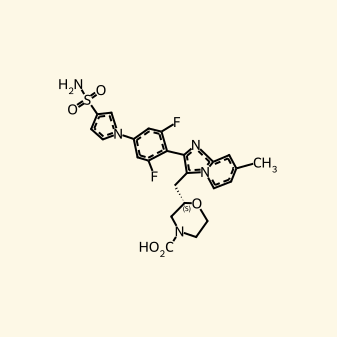 Cc1ccn2c(C[C@H]3CN(C(=O)O)CCO3)c(-c3c(F)cc(-n4ccc(S(N)(=O)=O)c4)cc3F)nc2c1